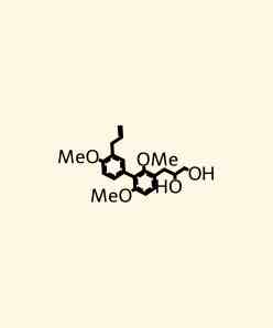 C=CCc1cc(-c2c(OC)ccc(CC(O)CO)c2OC)ccc1OC